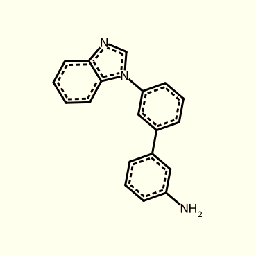 Nc1cccc(-c2cccc(-n3cnc4ccccc43)c2)c1